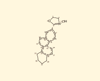 C1=NCCO1.Cl.c1ccc2c(c1)ccc1c3c(ccc12)CCCC3